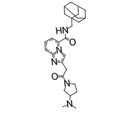 CN(C)C1CCN(C(=O)Cc2cn3c(C(=O)NCC45CC6CC(CC(C6)C4)C5)cccc3n2)C1